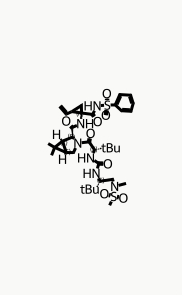 C=CC1C[C@]1(NC(=O)[C@@H]1[C@@H]2[C@H](CN1C(=O)[C@@H](NC(=O)N[C@H](CN(C)S(C)(=O)=O)C(C)(C)C)C(C)(C)C)C2(C)C)C(=O)NS(=O)(=O)c1ccccc1